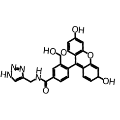 O=C(NCc1c[nH]nn1)c1ccc(C2=C3C=CC(O)C=C3Oc3cc(O)ccc32)c(C(=O)O)c1